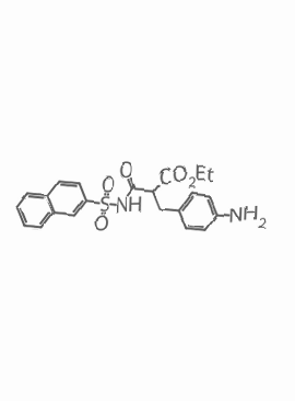 CCOC(=O)C(Cc1ccc(N)cc1)C(=O)NS(=O)(=O)c1ccc2ccccc2c1